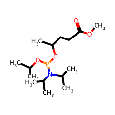 COC(=O)CCC(C)OP(OC(C)C)N(C(C)C)C(C)C